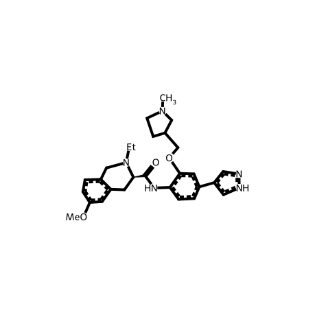 CCN1Cc2ccc(OC)cc2C[C@@H]1C(=O)Nc1ccc(-c2cn[nH]c2)cc1OCC1CCN(C)C1